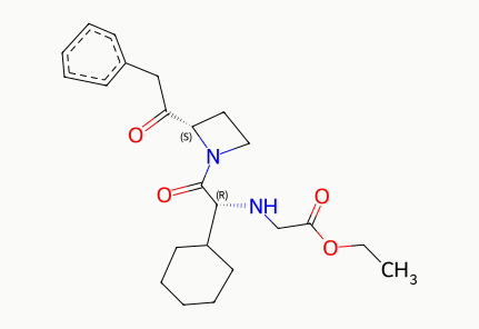 CCOC(=O)CN[C@@H](C(=O)N1CC[C@H]1C(=O)Cc1ccccc1)C1CCCCC1